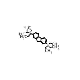 CC[Si](CC)(CC)c1ccc2c(c1)Cc1cc([Si](CC)(CC)CC)ccc1-2